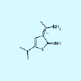 C/C(N)=C1\C=C(C(C)C)SC1=N